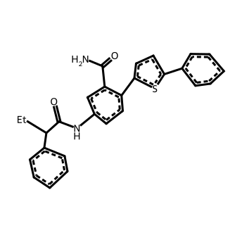 CCC(C(=O)Nc1ccc(-c2ccc(-c3ccccc3)s2)c(C(N)=O)c1)c1ccccc1